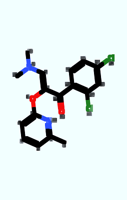 Cc1cccc(OC(=CN(C)C)C(=O)c2ccc(Cl)cc2Cl)n1